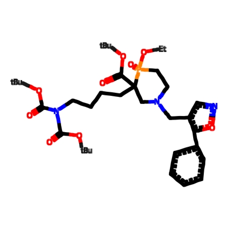 CCOP1(=O)CCN(Cc2cnoc2-c2ccccc2)CC1(CCCCN(C(=O)OC(C)(C)C)C(=O)OC(C)(C)C)C(=O)OC(C)(C)C